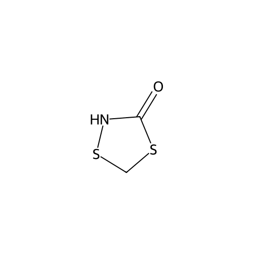 O=C1NSCS1